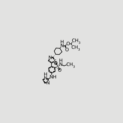 CCNS(=O)(=O)c1cc(Nc2ncc[nH]2)ccc1-c1cnc([C@H]2CC[C@H](NC(=O)OC(C)C)CC2)s1